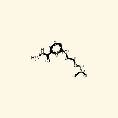 NNC(=O)c1cccc(OCCOSB(I)I)n1